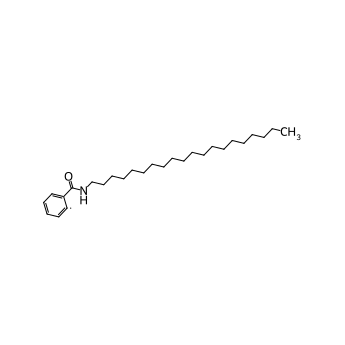 CCCCCCCCCCCCCCCCCCCCNC(=O)c1[c]cccc1